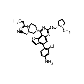 C=CC(=O)N1CCN(c2nc(OC[C@@H]3CCCN3C)nc3cc(-c4ccc(N)cc4Cl)c4ccoc4c23)C[C@@H]1CC#N